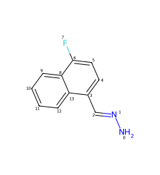 NN=Cc1ccc(F)c2ccccc12